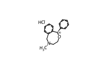 CN1CCO[C@H](c2ccccc2)c2ccccc2C1.Cl